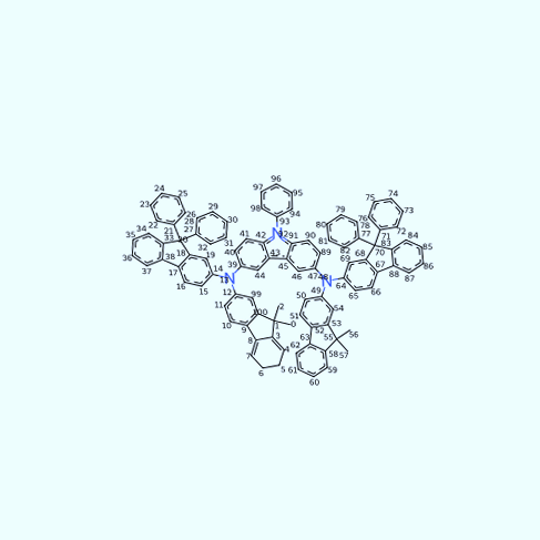 CC1(C)C2=CCCC=C2c2ccc(N(c3ccc4c(c3)C(c3ccccc3)(c3ccccc3)c3ccccc3-4)c3ccc4c(c3)c3cc(N(c5ccc6c(c5)C(C)(C)c5ccccc5-6)c5ccc6c(c5)C(c5ccccc5)(c5ccccc5)c5ccccc5-6)ccc3n4-c3ccccc3)cc21